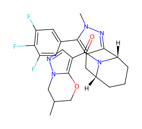 CC1COc2c(C(=O)N3[C@@H]4CCC[C@H]3c3nn(C)c(-c5cc(F)c(F)c(F)c5)c3C4)cnn2C1